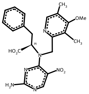 COc1c(C)cnc(CN(c2nc(N)ncc2[N+](=O)[O-])[C@H](Cc2ccccc2)C(=O)O)c1C